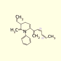 C=CC1CC=C(C(=C)/C=C\C=C/C)N(c2ccccc2)C1=C